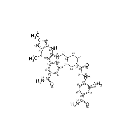 CCn1nc(C)cc1Nc1nc2cc(C(N)=O)ccc2n1CC1CCN(C(=O)CNc2ccc(C(N)=O)cc2N)CC1